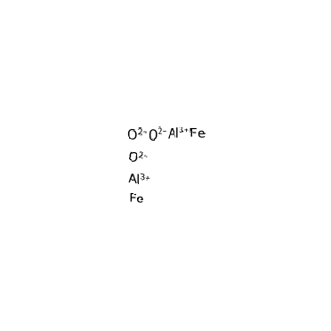 [Al+3].[Al+3].[Fe].[Fe].[O-2].[O-2].[O-2]